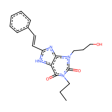 CCCn1c(=O)c2[nH]c(C=Cc3ccccc3)nc2n(CCCO)c1=O